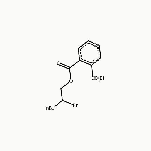 CCCCC(CC)COC(=O)c1ccccc1C(=O)OCC